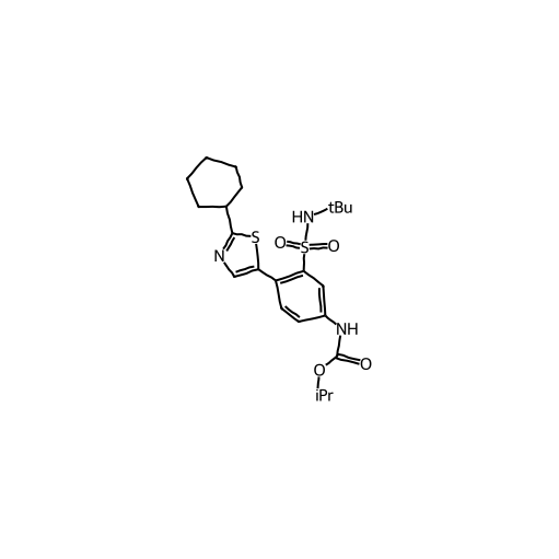 CC(C)OC(=O)Nc1ccc(-c2cnc(C3CCCCC3)s2)c(S(=O)(=O)NC(C)(C)C)c1